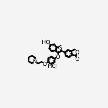 Cl.O=C1OCc2cc(-c3sc4cc(O)ccc4c3Oc3ccc(OCCN4CCCCC4)cc3)ccc21